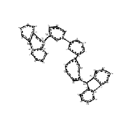 c1cc(-c2cncc(-c3cccc(-n4c5ccccc5c5ccccc54)c3)c2)cc(C2c3ccccc3-c3ccccc32)c1